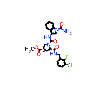 COC(=O)[C@H]1C[C@@H](C(=O)NCc2cccc(Cl)c2F)N(C(=O)Nc2cn(C(N)=O)c3ccccc23)C1